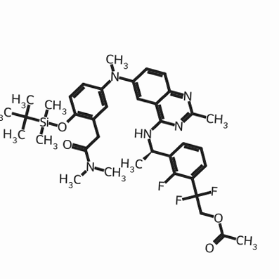 CC(=O)OCC(F)(F)c1cccc([C@@H](C)Nc2nc(C)nc3ccc(N(C)c4ccc(O[Si](C)(C)C(C)(C)C)c(CC(=O)N(C)C)c4)cc23)c1F